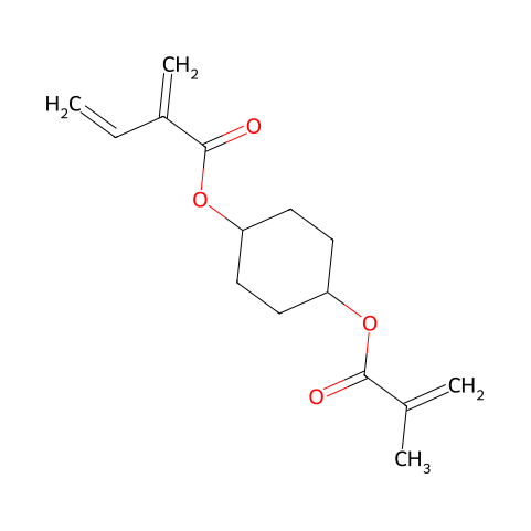 C=CC(=C)C(=O)OC1CCC(OC(=O)C(=C)C)CC1